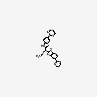 C=CCC(c1nc2cc(-c3ncccn3)ccc2[nH]1)c1nc2cc(-c3ncccn3)ccc2[nH]1